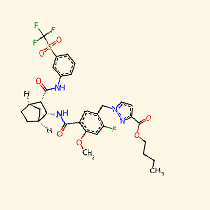 CCCCOC(=O)c1ccn(Cc2cc(C(=O)N[C@@H]3[C@H]4CC[C@H](C4)[C@@H]3C(=O)Nc3cccc(S(=O)(=O)C(F)(F)F)c3)c(OC)cc2F)n1